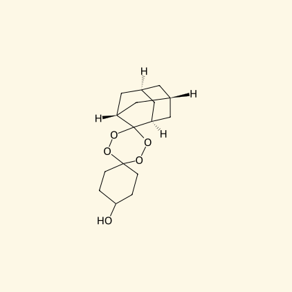 OC1CCC2(CC1)OOC1(OO2)[C@H]2C[C@@H]3C[C@@H](C[C@H]1C3)C2